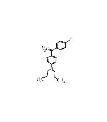 C=C(c1ccc(F)cc1)c1ccc(N(CCC)CCC)cc1